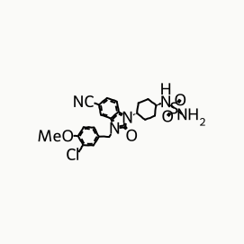 COc1ccc(Cn2c(=O)n([C@H]3CC[C@H](NS(N)(=O)=O)CC3)c3ccc(C#N)cc32)cc1Cl